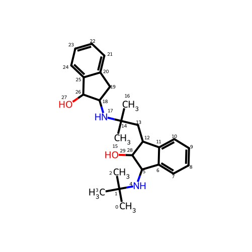 CC(C)(C)NC1c2ccccc2C(CC(C)(C)NC2Cc3ccccc3C2O)C1O